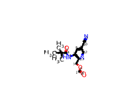 CC(C)(C)C(=O)Nc1cc(C#N)cnc1COC=O